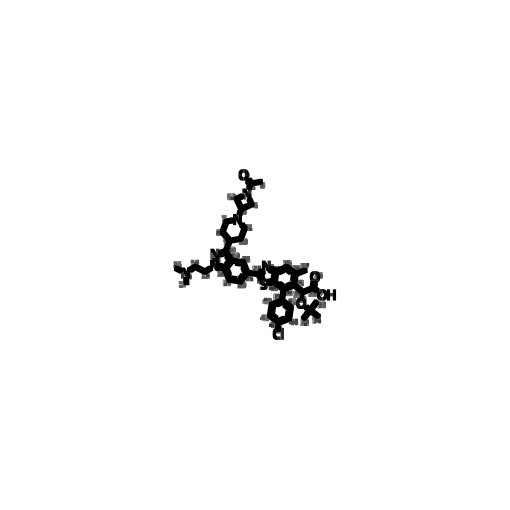 CC(=O)N1CC(N2CCC(c3nn(CCN(C)C)c4ccc(-c5nc6cc(C)c([C@H](OC(C)(C)C)C(=O)O)c(-c7ccc(Cl)cc7)c6s5)cc34)CC2)C1